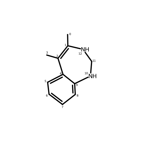 CC1=C(C)c2ccccc2NCN1